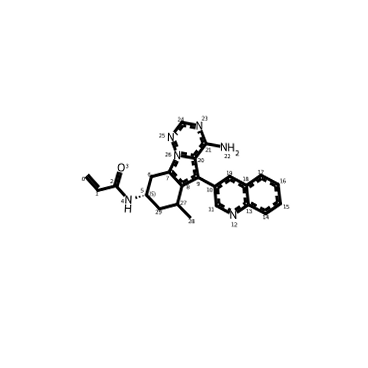 C=CC(=O)N[C@@H]1Cc2c(c(-c3cnc4ccccc4c3)c3c(N)ncnn23)C(C)C1